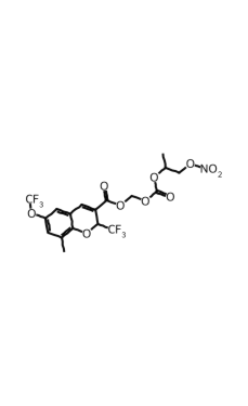 Cc1cc(OC(F)(F)F)cc2c1OC(C(F)(F)F)C(C(=O)OCOC(=O)OC(C)CO[N+](=O)[O-])=C2